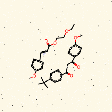 CCOCCOC(=O)/C=C/c1ccc(OC)cc1.COc1ccc(C(=O)CC(=O)c2ccc(C(C)(C)C)cc2)cc1